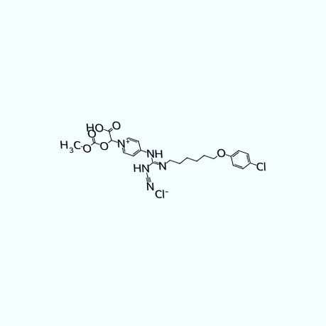 COC(=O)OC(C(=O)O)[n+]1ccc(N/C(=N\CCCCCCOc2ccc(Cl)cc2)NC#N)cc1.[Cl-]